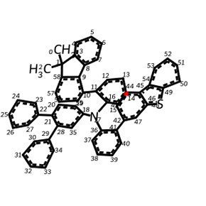 CC1(C)c2ccccc2-c2c(-c3ccccc3N(c3ccc(-c4ccccc4)c(-c4ccccc4)c3)c3ccccc3-c3ccc4c(c3)sc3ccccc34)cccc21